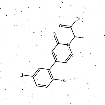 CC(C(=O)O)n1ccc(-c2cc(Cl)ccc2Br)cc1=O